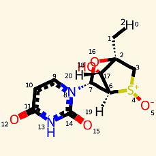 [2H]C[C@@]12C[S+]([O-])[C@@H]([C@H](n3ccc(=O)[nH]c3=O)O1)[C@@H]2O